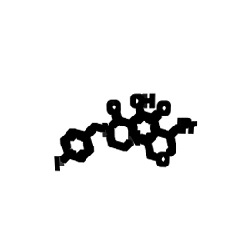 CC(C)C1COCc2c1c(=O)c(O)c1n2CCN(Cc2ccc(F)cc2)C1=O